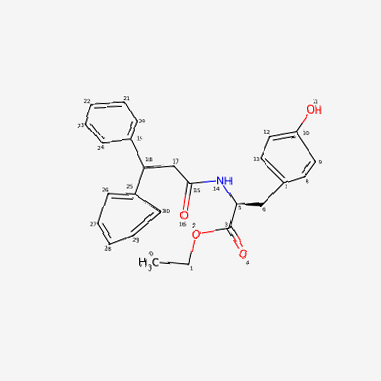 CCOC(=O)[C@H](Cc1ccc(O)cc1)NC(=O)CC(c1ccccc1)c1ccccc1